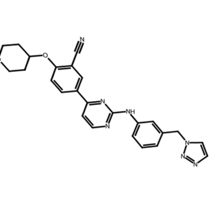 N#Cc1cc(-c2ccnc(Nc3cccc(Cn4ccnn4)c3)n2)ccc1OC1CCOCC1